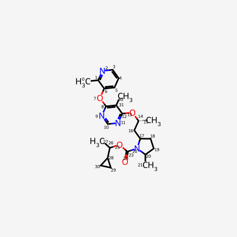 Cc1ncccc1Oc1ncnc(O[C@H](C)CC2CCC(C)N2C(=O)OC(C)C2CC2)c1C